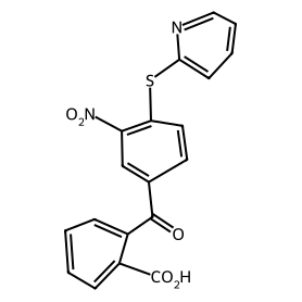 O=C(O)c1ccccc1C(=O)c1ccc(Sc2ccccn2)c([N+](=O)[O-])c1